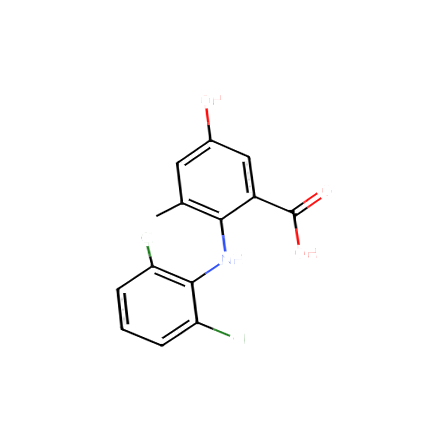 Cc1cc(O)cc(C(=O)O)c1Nc1c(Cl)cccc1Cl